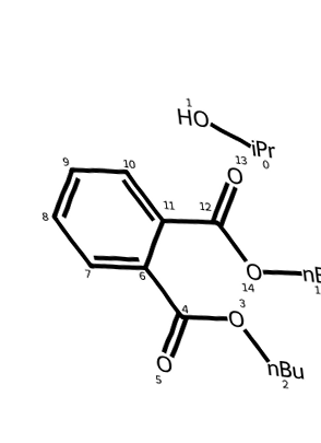 CC(C)O.CCCCOC(=O)c1ccccc1C(=O)OCCCC